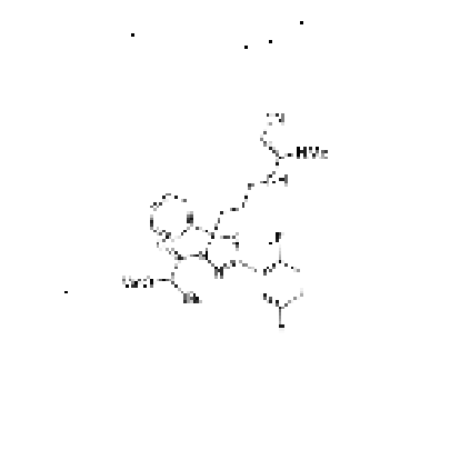 CNC(=NC#N)NCCCC1(c2ccccc2)SC(c2cc(F)ccc2F)=NN1C(=O)C(OC)C(C)(C)C